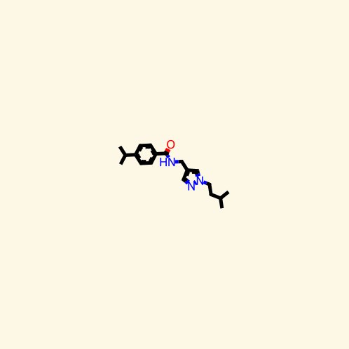 CC(C)CCn1cc(CNC(=O)c2ccc(C(C)C)cc2)cn1